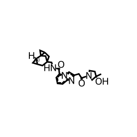 CC1(O)CCN(C(=O)Cc2cn3c(C(=O)NCC45CC6C[C@@H]6C6(CC6C4)C5)cccc3n2)C1